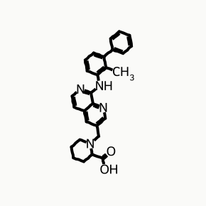 Cc1c(Nc2nccc3cc(CN4CCCCC4C(=O)O)cnc23)cccc1-c1ccccc1